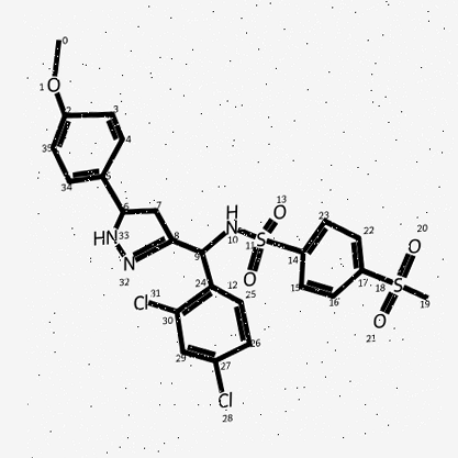 COc1ccc(C2CC(C(NS(=O)(=O)c3ccc(S(C)(=O)=O)cc3)c3ccc(Cl)cc3Cl)=NN2)cc1